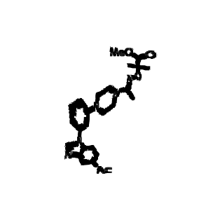 COC(=O)C(C)(C)ON=C(C)N1CCN(c2cccc(-n3cnc4cc(C(C)=O)ccc43)c2)CC1